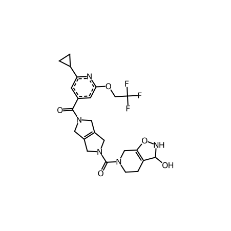 O=C(c1cc(OCC(F)(F)F)nc(C2CC2)c1)N1CC2=C(C1)CN(C(=O)N1CCC3=C(C1)ONC3O)C2